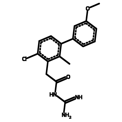 COc1cccc(-c2ccc(Cl)c(CC(=O)NC(=N)N)c2C)c1